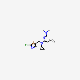 CN(C)C=NC(=C[N+](=O)[O-])N(Cc1cnc(Cl)s1)C1CC1